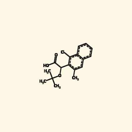 Cc1cc2ccccc2c(Cl)c1C(OC(C)(C)C)C(=O)O